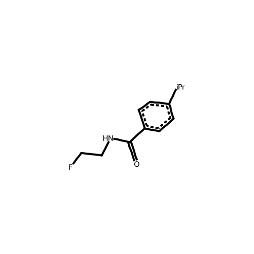 CC(C)c1ccc(C(=O)NCCF)cc1